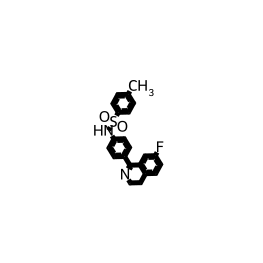 Cc1ccc(S(=O)(=O)Nc2ccc(C3=NCCc4ccc(F)cc43)cc2)cc1